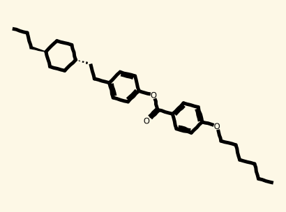 CCCCCCOc1ccc(C(=O)Oc2ccc(CC[C@H]3CC[C@H](CCC)CC3)cc2)cc1